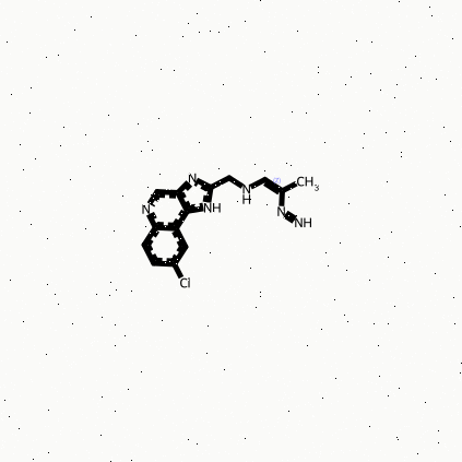 C/C(=C/NCc1nc2cnc3ccc(Cl)cc3c2[nH]1)N=N